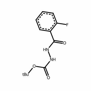 CC(C)(C)OC(=O)NNC(=O)c1ccccc1F